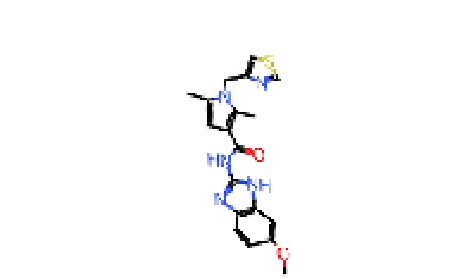 COc1ccc2nc(NC(=O)c3cc(C)n(Cc4cscn4)c3C)[nH]c2c1